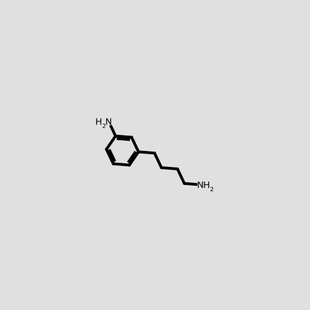 NCCCCc1cccc(N)c1